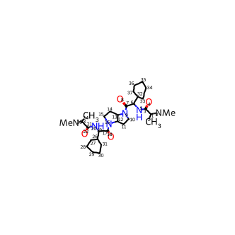 CNC(C)C(=O)NC(C(=O)N1CCC2C1CCN2C(=O)C(NC(=O)C(C)NC)C1CCCCC1)C1CCCCC1